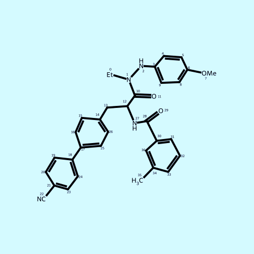 CCN(Nc1ccc(OC)cc1)C(=O)C(Cc1ccc(-c2ccc(C#N)cc2)cc1)NC(=O)c1cccc(C)c1